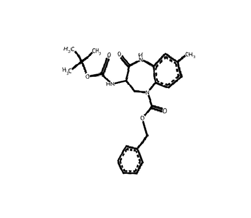 Cc1ccc2c(c1)NC(=O)C(NC(=O)OC(C)(C)C)CN2C(=O)OCc1ccccc1